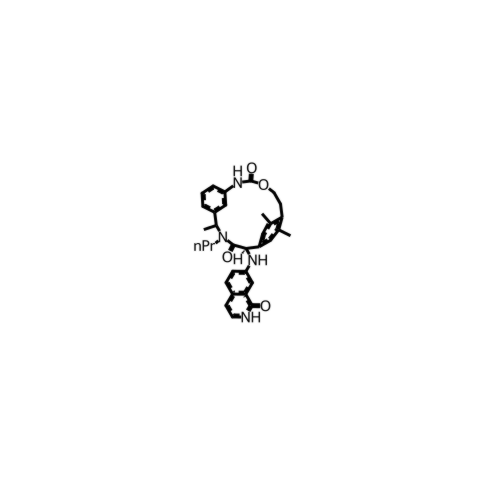 CCCN1C(=O)[C@H](Nc2ccc3cc[nH]c(=O)c3c2)c2cc(C)c(c(C)c2)CCOC(=O)Nc2cccc(c2)C1C